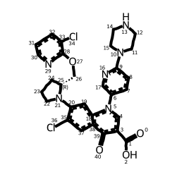 O=C(O)c1cn(-c2ccc(N3CCNCC3)nc2)c2cc(N3CCC[C@@H]3COc3ncccc3Cl)c(Cl)cc2c1=O